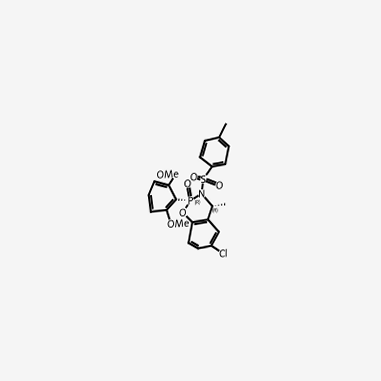 COc1cccc(OC)c1[P@@]1(=O)Oc2ccc(Cl)cc2[C@@H](C)N1S(=O)(=O)c1ccc(C)cc1